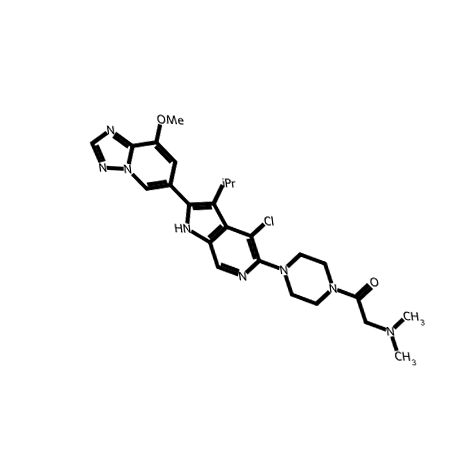 COc1cc(-c2[nH]c3cnc(N4CCN(C(=O)CN(C)C)CC4)c(Cl)c3c2C(C)C)cn2ncnc12